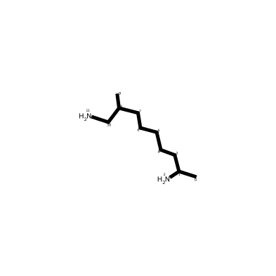 CC(N)CCCCCC(C)CN